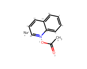 CC(=O)[O-].[Na+].c1ccc2ncccc2c1